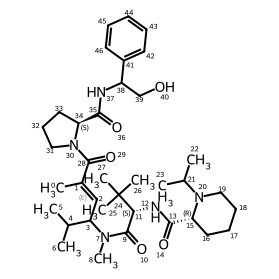 C/C(=C\C(C(C)C)N(C)C(=O)[C@@H](NC(=O)[C@H]1CCCCN1C(C)C)C(C)(C)C)C(=O)N1CCC[C@H]1C(=O)NC(CO)c1ccccc1